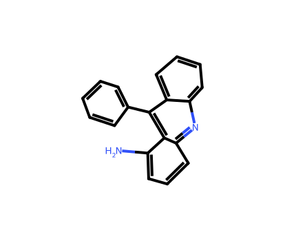 Nc1cccc2nc3ccccc3c(-c3ccccc3)c12